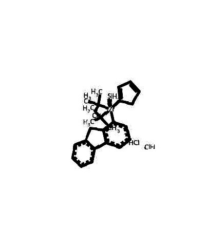 C[C](C)(C)[Zr](=[SiH2])([C]1=CC=CC1)([c]1cccc2c1Cc1ccccc1-2)[C](C)(C)C.Cl.Cl